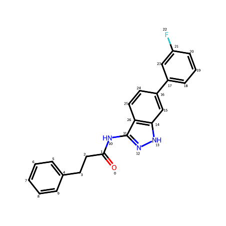 O=C(CCc1ccccc1)Nc1n[nH]c2cc(-c3cccc(F)c3)ccc12